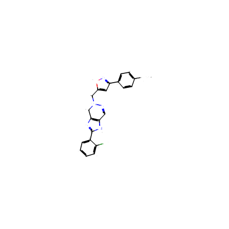 COc1ccc(-c2cc(CN3Cc4nc(-c5ccccc5F)[nH]c4C=N3)on2)cc1